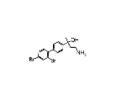 CC(O)(CCN)c1ccc(-c2ccc(Br)cc2Br)cc1